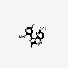 COc1ccc2nnc3c(C)nc(-c4cc(Cl)cnc4OC)n3c2n1